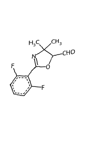 CC1(C)N=C(c2c(F)cccc2F)OC1C=O